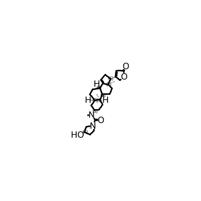 CN(C(=O)N1CC[C@H](O)C1)[C@H]1CC[C@@]2(C)[C@H](CC[C@H]3C4=CC[C@H](C5=CC(=O)OC5)[C@@]4(C)CC[C@@H]32)C1